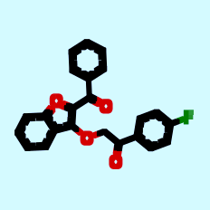 O=C(COc1c(C(=O)c2ccccc2)oc2ccccc12)c1ccc(F)cc1